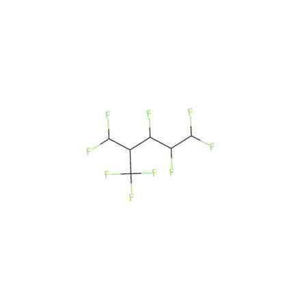 FC(F)C(F)C(F)C(C(F)F)C(F)(F)F